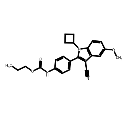 CCCOC(=O)Nc1ccc(-c2c(C#N)c3cc(OC)ccc3n2C2CCC2)cc1